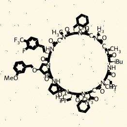 CC[C@H](C)[C@@H]1NC(=O)[C@H](CC(C)C)N(C)C(=O)C[C@@H](C(=O)N2CCCCC2)N(C)C(=O)[C@H](CC(C)C)N(C)C(=O)C2(CCCC2)NC(=O)[C@@H]2C[C@@H](OCc3cccc(OC)c3)CN2C(=O)[C@H](CCc2ccc(C(F)(F)F)c(F)c2)NC(=O)CN(C)C(=O)[C@H](CC2CCCCC2)N(C)C(=O)CN(C)C(=O)CN(C)C1=O